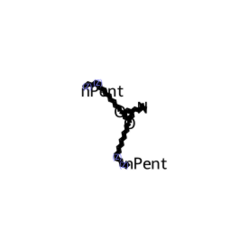 CCCCC/C=C\C/C=C\CCCCCCCCOc1cc(CCN(C)C)cc(OCCCCCCCC/C=C\C/C=C\CCCCC)c1